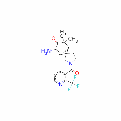 CC1(C)C[C@@]2(C=C(N)C1=O)CCN(C(=O)c1cccnc1C(F)(F)F)C2